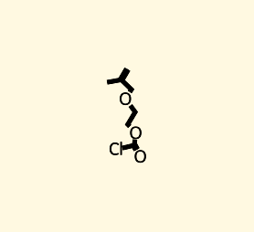 C=C(C)COCCOC(=O)Cl